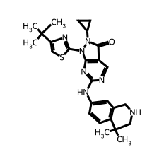 CC(C)(C)c1csc(-n2c3nc(Nc4ccc5c(c4)CNCC5(C)C)ncc3c(=O)n2C2CC2)n1